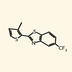 Cc1ccsc1-c1nc2cc(C(F)(F)F)ccc2s1